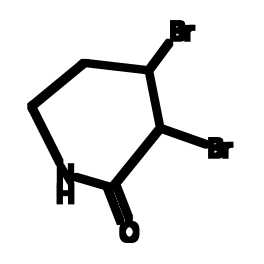 O=C1NCCC(Br)C1Br